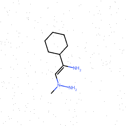 CN(N)/C=C(\N)C1CCCCC1